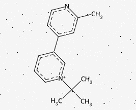 Cc1cc(-c2ccc[n+](C(C)(C)C)c2)ccn1